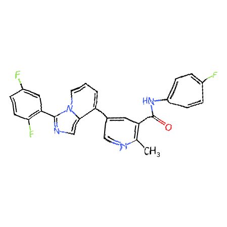 Cc1ncc(-c2cccn3c(-c4cc(F)ccc4F)ncc23)cc1C(=O)Nc1ccc(F)cc1